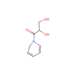 O=C(C(O)CO)N1C=CC=[C]C1